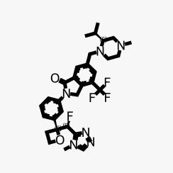 CC(C)[C@H]1CN(C)CCN1Cc1cc2c(c(C(F)(F)F)c1)CN(c1cccc([C@]3([C@@H](F)c4nncn4C)CCO3)c1)C2=O